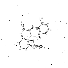 C=CC[C@@]12C(=CC(=O)/C(=C/c3ccccc3I)[C@@H]1C)CCC[C@@H]2O